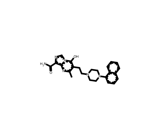 Cc1nc2c(C(N)=O)ncn2c(O)c1CCN1CCN(c2cccc3ccccc23)CC1